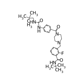 CC(C)(C)CNC(=O)Nc1ccc(C(=O)N2CCN(Cc3cccc(C(=O)NC(C)(C)C)c3F)CC2)cc1